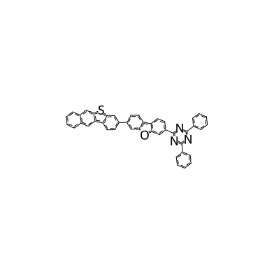 c1ccc(-c2nc(-c3ccccc3)nc(-c3ccc4c(c3)oc3cc(-c5ccc6c(c5)sc5cc7ccccc7cc56)ccc34)n2)cc1